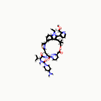 CCn1c(-c2cccnc2[C@H](C)OC)c2c3cc(ccc31)-c1csc(n1)C[C@H](NC(=O)[C@H](C(C)C)N(C)C(=O)N1CCC(N(C)C)CC1)C(=O)N1CCC[C@H](N1)C(=O)OCC(C)(C)C2